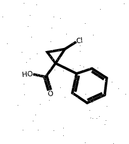 O=C(O)C1(c2ccccc2)CC1Cl